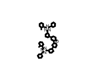 Cc1ccccc1-c1nc(-c2ccccc2)nc(-c2cccc(-c3ccc4oc5ccc(-c6cccc(-c7nc(-c8ccccc8)nc(-c8ccccc8C)n7)c6)cc5c4c3)c2)n1